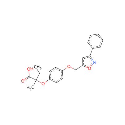 CCC(C)(Oc1ccc(OCc2cc(-c3ccccc3)no2)cc1)C(=O)O